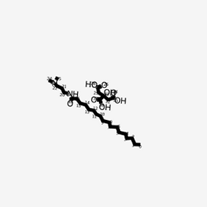 CCCCCCCCCCCCCCCCCC(=O)NCCCN(C)C.O=C(O)CC(O)(CC(=O)O)C(=O)O